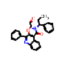 CCC(NC(=O)c1c(OCC=O)c(-c2ccccc2)nc2ccccc12)c1ccccc1